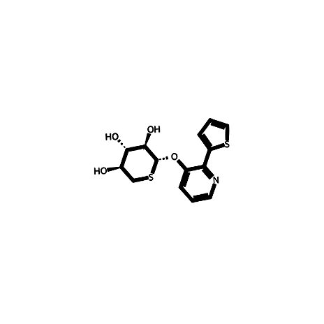 O[C@@H]1[C@@H](O)[C@H](Oc2cccnc2-c2cccs2)SC[C@H]1O